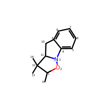 CC1ON2c3ccccc3CC2C1(C)C